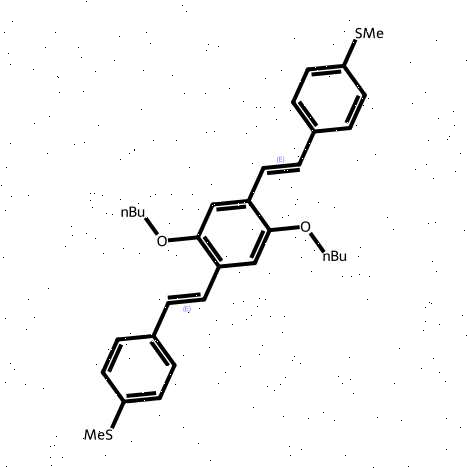 CCCCOc1cc(/C=C/c2ccc(SC)cc2)c(OCCCC)cc1/C=C/c1ccc(SC)cc1